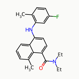 CCN(CC)C(=O)c1ccc(Nc2cc(F)ccc2C)c2cccc(C)c12